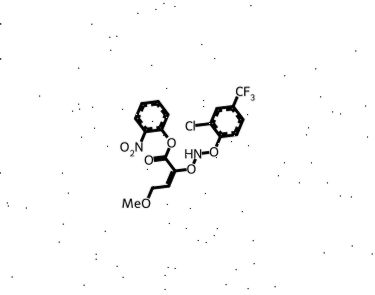 COCC=C(ONOc1ccc(C(F)(F)F)cc1Cl)C(=O)Oc1ccccc1[N+](=O)[O-]